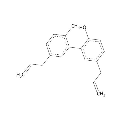 C=CCc1ccc(C)c(-c2cc(CC=C)ccc2O)c1